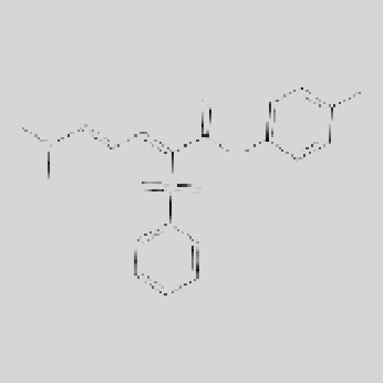 Cc1ccc(OC(=O)C(=CC=CN(C)C)S(=O)(=O)c2ccccc2)cc1